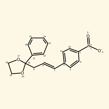 O=[N+]([O-])c1ccc(/C=C/CC2(c3ccccc3)OCCO2)cc1